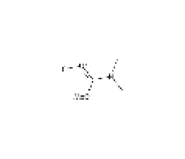 [CH2-]/[O+]=C(\OC)N(C)C